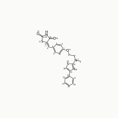 CN(CCOc1ccc(/C=C2/SC(=O)NC2=O)cc1)c1nc(-c2ccccc2)cs1